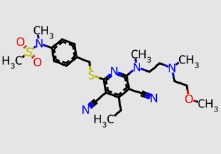 CCc1c(C#N)c(SCc2ccc(N(C)S(C)(=O)=O)cc2)nc(N(C)CCN(C)CCOC)c1C#N